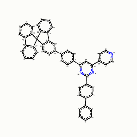 c1ccc(-c2ccc(-c3nc(-c4ccncc4)cc(-c4ccc(-c5ccc6c(c5)-c5ccccc5C65c6ccccc6-c6ccccc65)cc4)n3)cc2)cc1